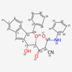 Cc1ccc2c(c1)C=C1C(O)C(C(=O)C(C#N)C(=O)Nc3ccccc3)OC(c3ccccc3)C12